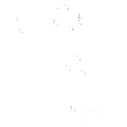 CC(C)(C)OC(=O)C1=NCC=C(c2cnc(N3CCOC(Cn4nnc5ncc(-c6ccc(F)c(C#N)c6)nc54)C3)nc2)C1